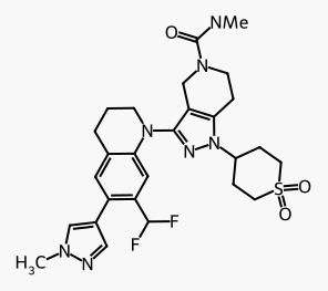 CNC(=O)N1CCc2c(c(N3CCCc4cc(-c5cnn(C)c5)c(C(F)F)cc43)nn2C2CCS(=O)(=O)CC2)C1